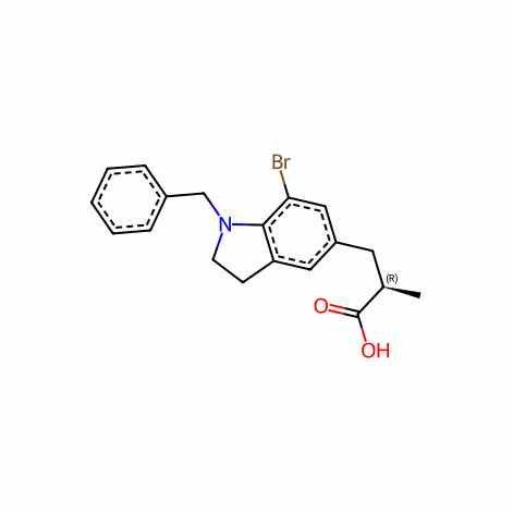 C[C@H](Cc1cc(Br)c2c(c1)CCN2Cc1ccccc1)C(=O)O